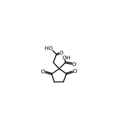 O=C(O)CC1(C(=O)O)C(=O)CCC1=O